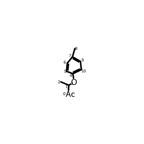 CC(=O)C(C)Oc1ccc(C)cc1